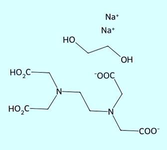 O=C([O-])CN(CCN(CC(=O)O)CC(=O)O)CC(=O)[O-].OCCO.[Na+].[Na+]